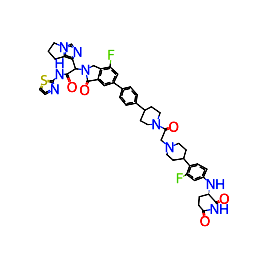 O=C1CC[C@H](Nc2ccc(C3CCN(CC(=O)N4CCC(c5ccc(-c6cc(F)c7c(c6)C(=O)N(C(C(=O)Nc6nccs6)c6ncn8c6CCC8)C7)cc5)CC4)CC3)c(F)c2)C(=O)N1